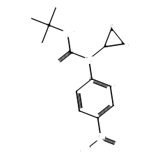 CC(C)(C)OC(=O)N(c1ccc([N+](=O)[O-])cc1)C1CC1